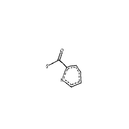 O=C([S])c1ccccn1